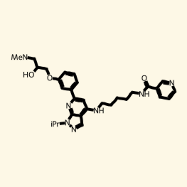 CNCC(O)COc1cccc(-c2cc(NCCCCCNC(=O)c3cccnc3)c3cnn(C(C)C)c3n2)c1